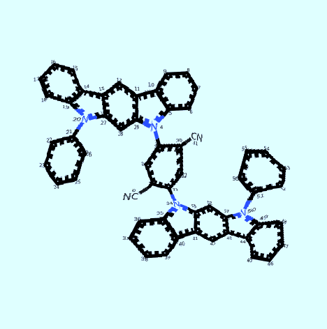 N#Cc1cc(-n2c3ccccc3c3cc4c5ccccc5n(-c5ccccc5)c4cc32)c(C#N)cc1-n1c2ccccc2c2cc3c4ccccc4n(-c4ccccc4)c3cc21